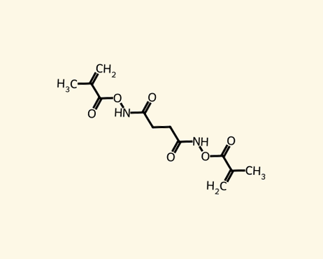 C=C(C)C(=O)ONC(=O)CCC(=O)NOC(=O)C(=C)C